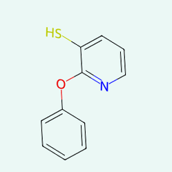 Sc1cccnc1Oc1ccccc1